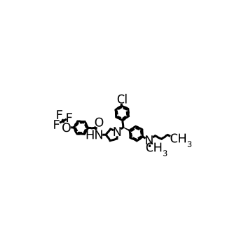 CCCCN(C)c1ccc([C@H](c2ccc(Cl)cc2)N2CCC(NC(=O)c3ccc(OC(F)(F)F)cc3)C2)cc1